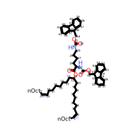 CCCCCCCC/C=C\CCCCCCCCC(CCCCCCC/C=C\CCCCCCCC)OC(=O)C(CCCCNC(=O)OCC1c2ccccc2-c2ccccc21)NC(=O)OCC1c2ccccc2-c2ccccc21